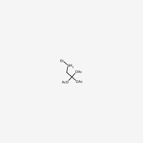 CC[SiH2]CC(OC(C)=O)(OC(C)=O)OC(C)=O